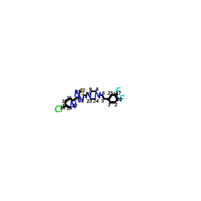 Fc1ccc(CCN2CCN(c3nc(-c4ccc(Cl)cn4)ns3)CC2)cc1F